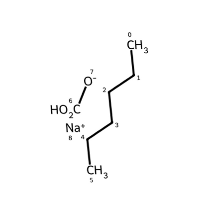 CCCCCC.O=C([O-])O.[Na+]